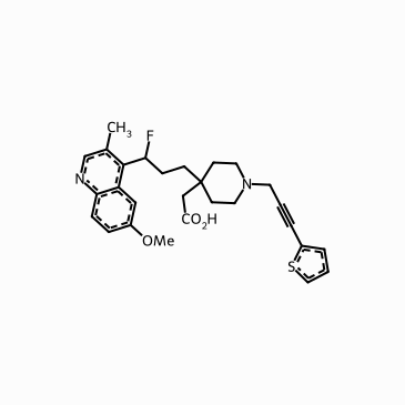 COc1ccc2ncc(C)c(C(F)CCC3(CC(=O)O)CCN(CC#Cc4cccs4)CC3)c2c1